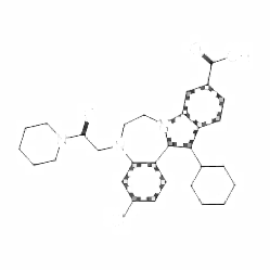 O=C(O)c1ccc2c(C3CCCCC3)c3n(c2c1)CCN(CC(=O)N1CCCCC1)c1cc(Cl)ccc1-3